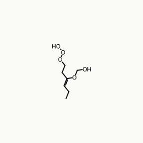 CC/C=C(/CCOOO)OCO